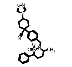 CC1CCC(c2ccccc2)S(=O)(=O)N1Cc1ccc(C2(C#N)CCC(n3cnnc3)CC2)cc1